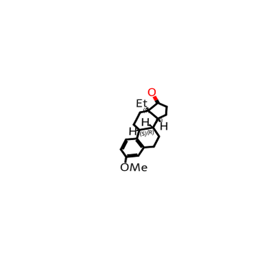 CC[C@]12CC[C@@H]3c4ccc(OC)cc4CC[C@H]3[C@H]1CCC2=O